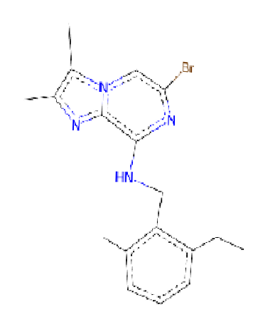 CCc1cccc(C)c1CNc1nc(Br)cn2c(C)c(C)nc12